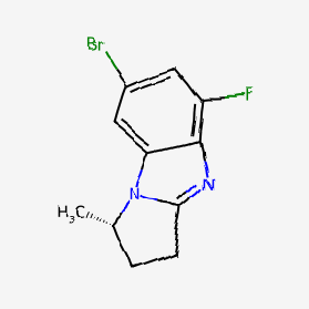 C[C@H]1CCc2nc3c(F)cc(Br)cc3n21